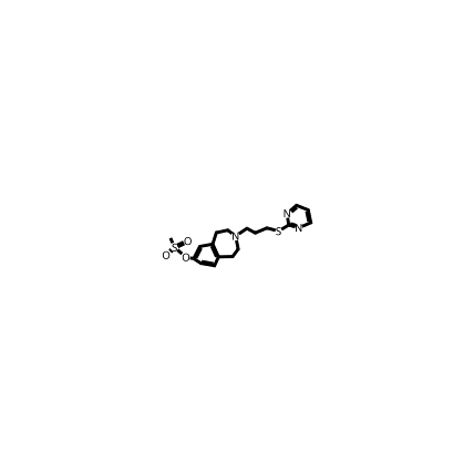 CS(=O)(=O)Oc1ccc2c(c1)CCN(CCCSc1ncccn1)CC2